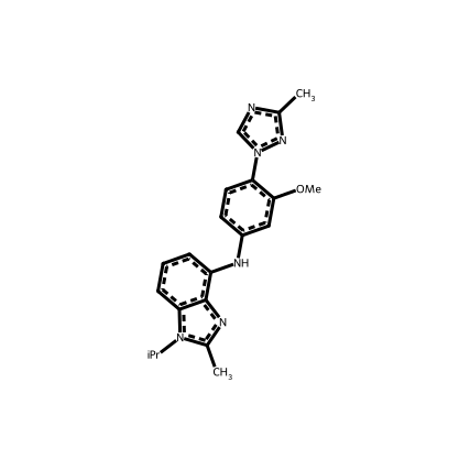 COc1cc(Nc2cccc3c2nc(C)n3C(C)C)ccc1-n1cnc(C)n1